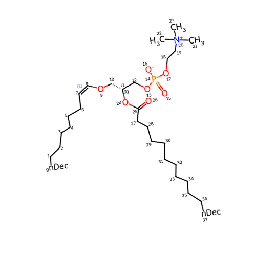 CCCCCCCCCCCCCCCC/C=C\OC[C@H](COP(=O)([O-])OCC[N+](C)(C)C)OC(=O)CCCCCCCCCCCCCCCCCCCC